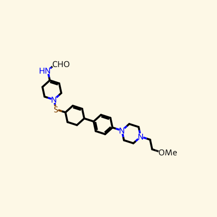 COCCN1CCN(c2ccc(C3C=CC(SN4CC=C(NC=O)CC4)CC3)cc2)CC1